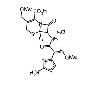 COCC1=C(C(=O)O)N2C(=O)C(NC(=O)C(=NOC)c3csc(N)n3)[C@@H]2SC1.Cl